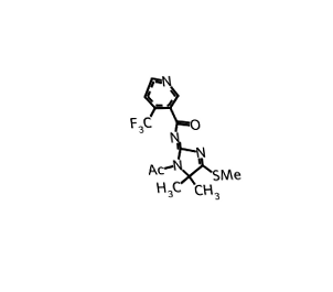 CSC1=NC(=NC(=O)c2cnccc2C(F)(F)F)N(C(C)=O)C1(C)C